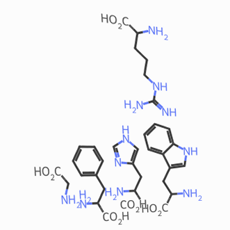 N=C(N)NCCCC(N)C(=O)O.NC(Cc1c[nH]c2ccccc12)C(=O)O.NC(Cc1c[nH]cn1)C(=O)O.NC(Cc1ccccc1)C(=O)O.NCC(=O)O